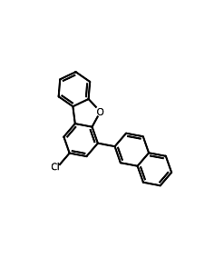 Clc1cc(-c2ccc3ccccc3c2)c2oc3ccccc3c2c1